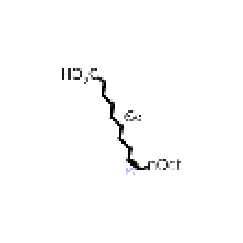 CCCCCCCC/C=C\CCCCCCCC(=O)O.[Se]